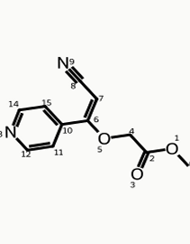 COC(=O)CO/C(=C/C#N)c1ccncc1